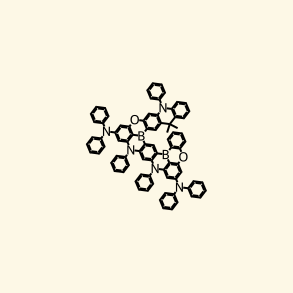 CC1(C)c2ccccc2N(c2ccccc2)c2cc3c(cc21)B1c2cc4c(cc2N(c2ccccc2)c2cc(N(c5ccccc5)c5ccccc5)cc(c21)O3)N(c1ccccc1)c1cc(N(c2ccccc2)c2ccccc2)cc2c1B4c1ccccc1O2